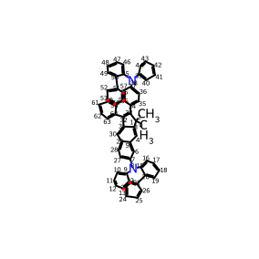 CC1(C)c2cc3cc(N(c4ccccc4)c4ccccc4-c4ccccc4)ccc3cc2-c2c1c1ccc(N(c3ccccc3)c3ccccc3-c3ccccc3)cc1c1ccccc21